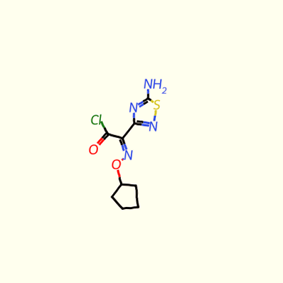 Nc1nc(/C(=N/OC2CCCC2)C(=O)Cl)ns1